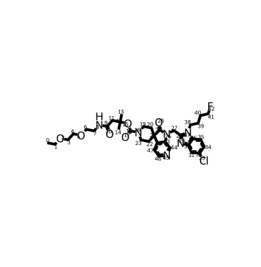 CCOCCOCCNC(=O)CC(C)(C)OC(=O)N1CCC2(CC1)C(=O)N(Cc1nc3cc(Cl)ccc3n1CCCCF)c1cnccc12